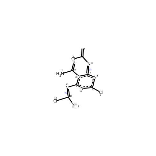 C=C(Cl)/N=c1/nc(Cl)nc(/N=C(\N)Cl)n1C(=C)N